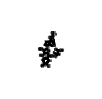 CNN=c1nc[nH]c2c1ccn2[C@@H]1O[C@H]([C@H](O)c2ccc(Cl)c(Cl)c2)[C@@H](O)[C@H]1O.O=C(O)C(F)(F)F